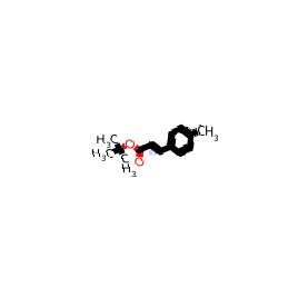 Cc1ccc(/C=C/C(=O)OC(C)(C)C)cc1